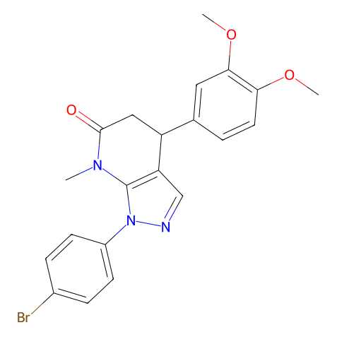 COc1ccc(C2CC(=O)N(C)c3c2cnn3-c2ccc(Br)cc2)cc1OC